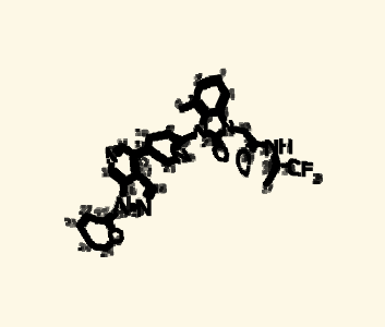 Cc1cccc2c1n(-c1ccc(-c3cncc4c3cnn4C3CCCCO3)cn1)c(=O)n2CC(=O)N[C@@H](C)C(F)(F)F